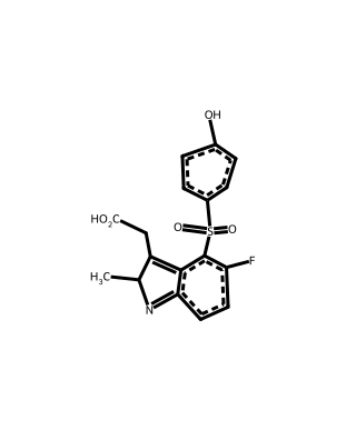 CC1N=c2ccc(F)c(S(=O)(=O)c3ccc(O)cc3)c2=C1CC(=O)O